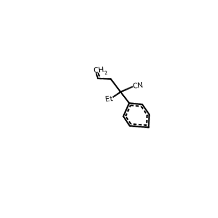 C=CCC(C#N)(CC)c1ccccc1